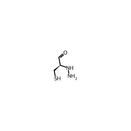 NN[C@H](C=O)CS